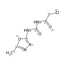 Cc1nnc(NC(=O)NC(=O)CCl)o1